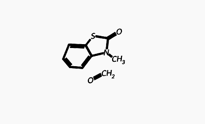 C=O.Cn1c(=O)sc2ccccc21